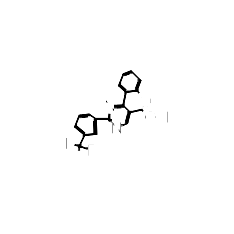 OC1Oc2ccccc2-c2nc(-c3cccc(C(F)(F)F)c3)ncc21